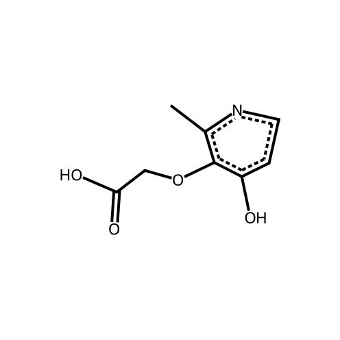 Cc1nccc(O)c1OCC(=O)O